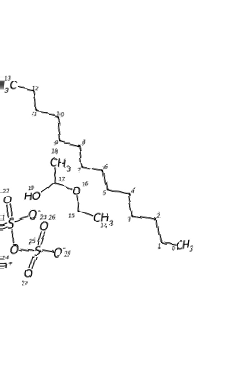 CCCCCCCCCCCCCC.CCOC(C)O.O=S(=O)([O-])OS(=O)(=O)[O-].[Na+].[Na+]